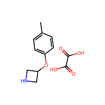 Cc1ccc(OC2CNC2)cc1.O=C(O)C(=O)O